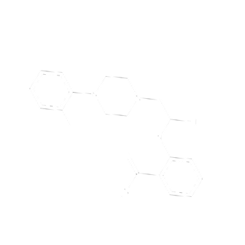 Cc1ccccc1N1CCN(CC(C)Nc2ccccc2C(N)=O)CC1